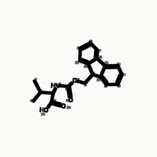 CC(C)C(NC(=O)OCC1c2ccccc2-c2ccccc21)C(=O)O